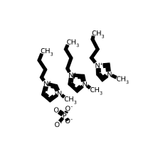 CCCC[n+]1ccn(C)c1.CCCC[n+]1ccn(C)c1.CCCC[n+]1ccn(C)c1.O=P([O-])([O-])[O-]